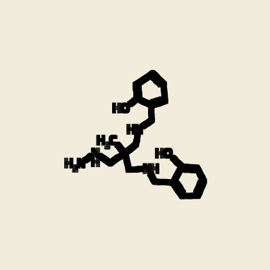 CC(CNN)(CNCc1ccccc1O)CNCc1ccccc1O